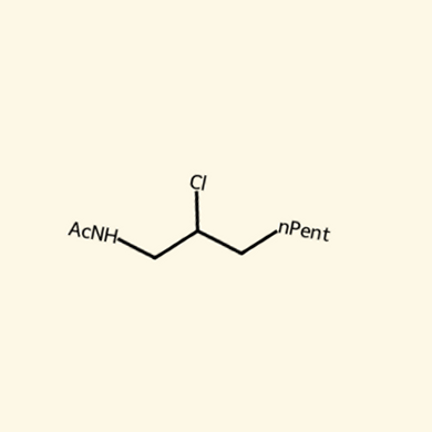 CCCCCCC(Cl)CNC(C)=O